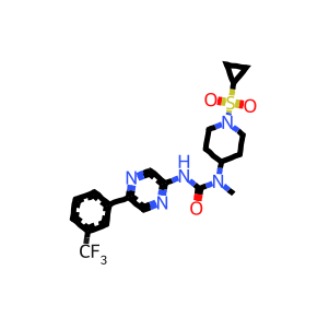 CN(C(=O)Nc1cnc(-c2cccc(C(F)(F)F)c2)cn1)C1CCN(S(=O)(=O)C2CC2)CC1